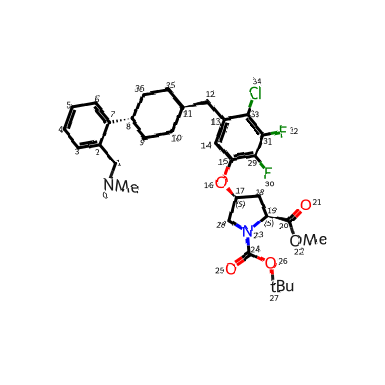 CNCc1ccccc1[C@H]1CC[C@H](Cc2cc(O[C@H]3C[C@@H](C(=O)OC)N(C(=O)OC(C)(C)C)C3)c(F)c(F)c2Cl)CC1